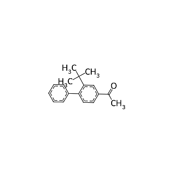 CC(=O)c1ccc(-c2ccccc2)c(C(C)(C)C)c1